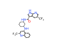 O=C(N[C@@H]1CCC[C@H](Nc2cc(C(F)(F)F)nc3ccccc23)C1)c1c[nH]c2ncc(C(F)(F)F)cc12